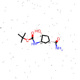 CC(C)(C)OC(=O)N[C@@H]1C[C@@H](C(N)=O)C[C@H]1O